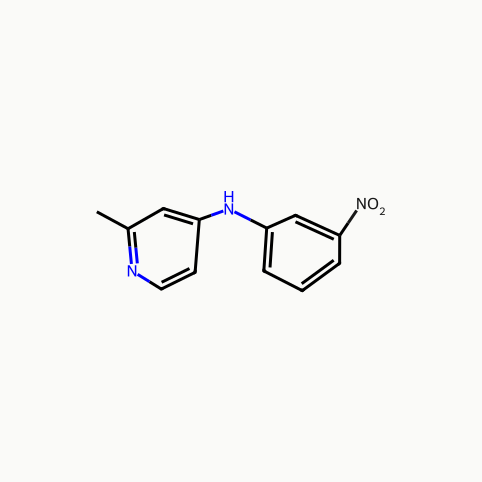 Cc1cc(Nc2cccc([N+](=O)[O-])c2)ccn1